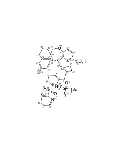 CC(C)(C)[Si](C)(C)O[C@H]([C@@H]1CCC[C@@H](S(=O)(=O)c2ncccn2)C1)[C@@H]1CC[C@H]1CN1CC2(CCCc3cc(Cl)ccc32)COc2ccc(C(=O)O)cc21